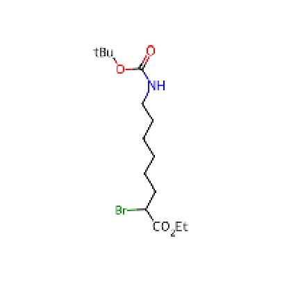 CCOC(=O)C(Br)CCCCCCNC(=O)OC(C)(C)C